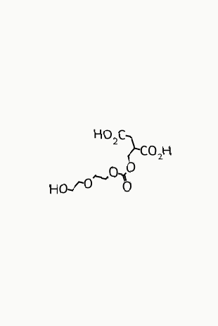 O=C(O)CC(COC(=O)OCCOCCO)C(=O)O